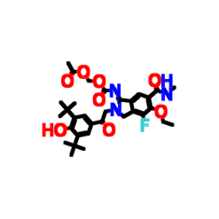 CCOc1c(C(=O)NC)cc2c(c1F)CN(CC(=O)c1cc(C(C)(C)C)c(O)c(C(C)(C)C)c1)C2=NC(=O)OCOC(C)=O